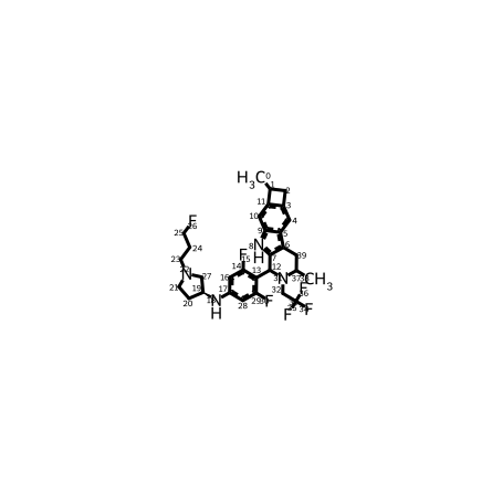 CC1Cc2cc3c4c([nH]c3cc21)C(c1c(F)cc(N[C@H]2CCN(CCCF)C2)cc1F)N(CC(F)(F)F)C(C)C4